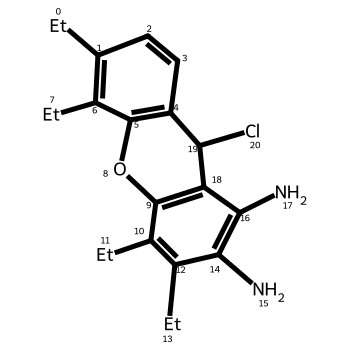 CCc1ccc2c(c1CC)Oc1c(CC)c(CC)c(N)c(N)c1C2Cl